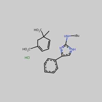 CC1(C(=O)O)C=CC=C(C(=O)O)C1.CCCCNc1nc(-c2ccccc2)c[nH]1.Cl